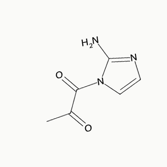 CC(=O)C(=O)n1ccnc1N